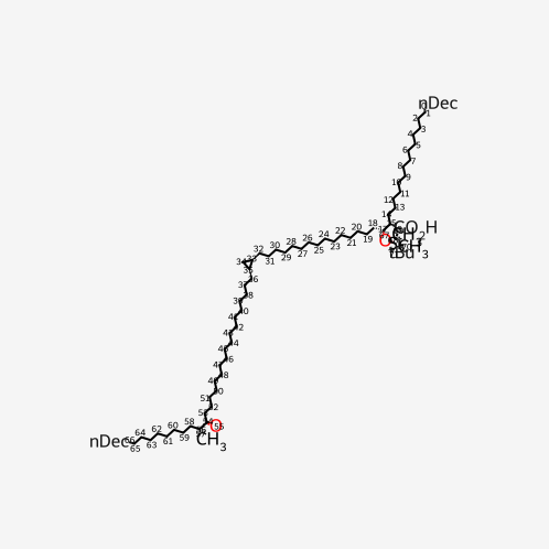 CCCCCCCCCCCCCCCCCCCCCCCC[C@@H](C(=O)O)[C@@H](CCCCCCCCCCCCCCC[C@@H]1C[C@@H]1CCCCCCCCCCCCCCCCCCC(=O)[C@@H](C)CCCCCCCCCCCCCCCCCC)O[Si](C)(C)C(C)(C)C